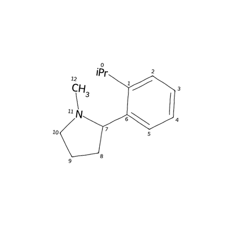 CC(C)c1ccccc1C1CCCN1C